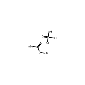 CCCCOC(=O)CCCC.O=P(O)(O)O